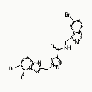 O=C(NCc1ncn2ccc(Br)cc12)c1cnn(Cc2cn3c(Cl)c(Br)ccc3n2)c1